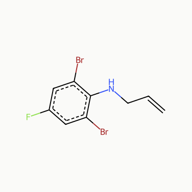 C=CCNc1c(Br)cc(F)cc1Br